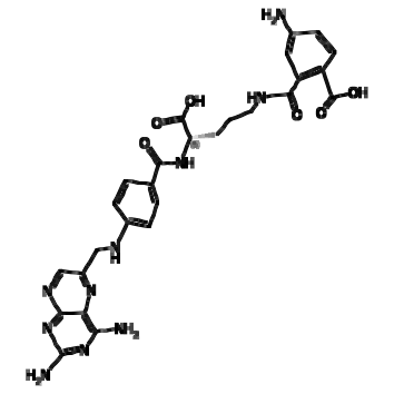 Nc1ccc(C(=O)O)c(C(=O)NCCC[C@H](NC(=O)c2ccc(NCc3cnc4nc(N)nc(N)c4n3)cc2)C(=O)O)c1